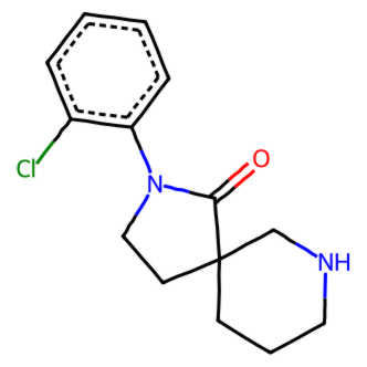 O=C1N(c2ccccc2Cl)CCC12CCCNC2